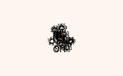 OCCC(c1ccccc1)c1cc(NC(c2ccccc2)(c2ccccc2)c2ccccc2)nc2c1nnn2C(c1ccccc1)(c1ccccc1)c1ccccc1